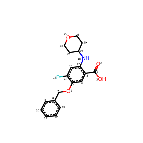 O=C(O)c1cc(OCc2ccccc2)c(F)cc1NC1CCOCC1